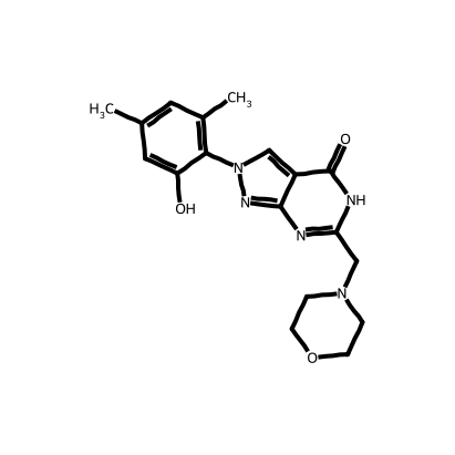 Cc1cc(C)c(-n2cc3c(=O)[nH]c(CN4CCOCC4)nc3n2)c(O)c1